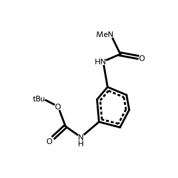 CNC(=O)Nc1cccc(NC(=O)OC(C)(C)C)c1